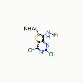 CC(=O)Nc1sc2c(Cl)nc(Cl)nc2c1NC(C)C